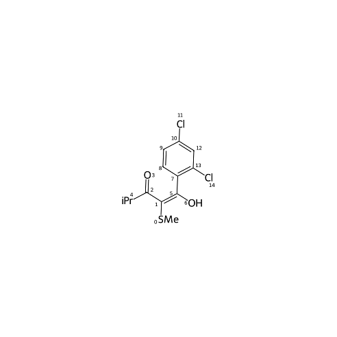 CSC(C(=O)C(C)C)=C(O)c1ccc(Cl)cc1Cl